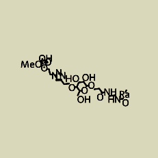 COP(=O)(O)OCCn1cc(CCOC2C(CO)OC(OCCC(=O)NCCN[C](=O)[Ra][CH3])C(O)C2O)nn1